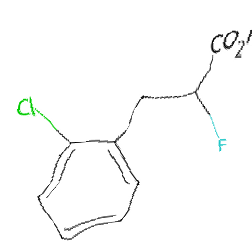 O=C(O)C(F)Cc1ccccc1Cl